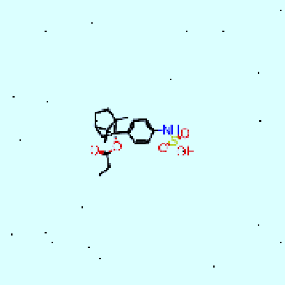 CCC(=O)O[C@]1(c2ccc(NS(=O)(=O)O)cc2)CC2CCC1(C)C2(C)C